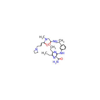 CCc1nc(Nc2cccc(C(C)CNC(=O)CN(C)C(=O)C=CCN3CCC3)c2)c(C(N)=O)nc1CC